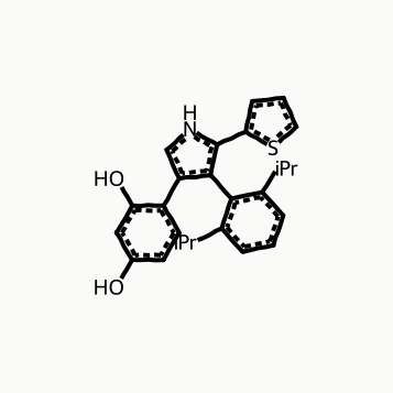 CC(C)c1cccc(C(C)C)c1-c1c(-c2ccc(O)cc2O)c[nH]c1-c1cccs1